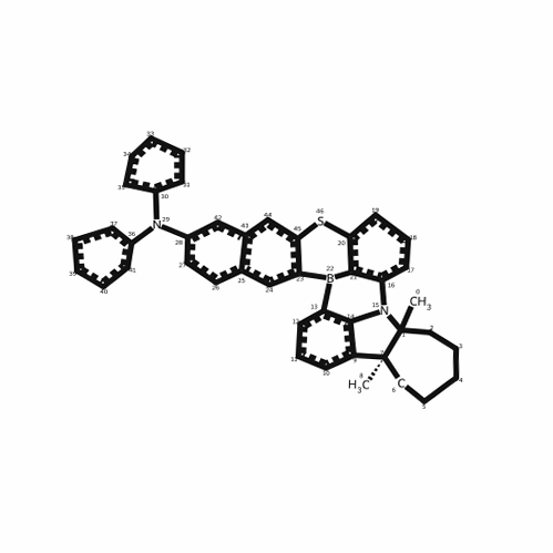 CC12CCCCC[C@@]1(C)c1cccc3c1N2c1cccc2c1B3c1cc3ccc(N(c4ccccc4)c4ccccc4)cc3cc1S2